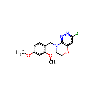 COc1ccc(CN2CCOc3cc(Cl)nnc32)c(OC)c1